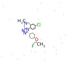 CC(CF)O[C@H]1CC[C@H](c2nnc3n2-c2ccc(Cl)cc2CN(C)C3)CC1